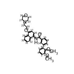 COc1cccc(-c2cccc(C(=O)Nc3ccc(OCCN4CCOCC4)c4ccccc34)c2)c1OC